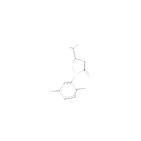 CC(C)C1=NN(c2cc(Cl)ccc2Cl)C(=O)C1